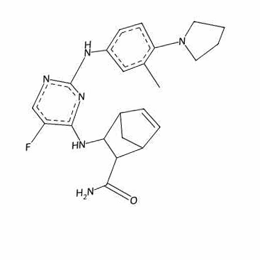 Cc1cc(Nc2ncc(F)c(NC3C4C=CC(C4)C3C(N)=O)n2)ccc1N1CCCC1